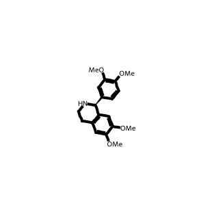 COc1ccc([C@@H]2NCCc3cc(OC)c(OC)cc32)cc1OC